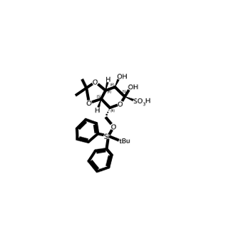 CC1(C)O[C@@H]2[C@H](O1)[C@@H](O)[C@@](O)(S(=O)(=O)O)O[C@@H]2CO[Si](c1ccccc1)(c1ccccc1)C(C)(C)C